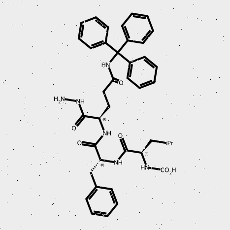 CC(C)C[C@@H](NC(=O)O)C(=O)N[C@H](Cc1ccccc1)C(=O)N[C@H](CCC(=O)NC(c1ccccc1)(c1ccccc1)c1ccccc1)C(=O)NN